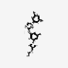 CCNC1CN(c2cc(C)cc(Nc3ncn(-c4cc(F)cc(F)c4)n3)c2)C1